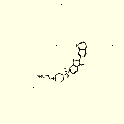 COCCN1CCCN(S(=O)(=O)c2ccc3c(c2)nc(-c2cnc4cccnc4c2)n3C)CC1